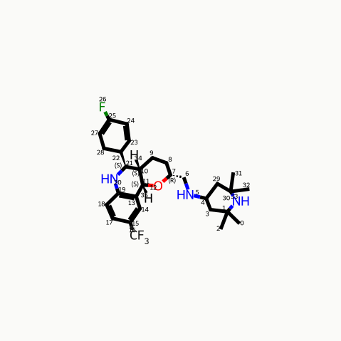 CC1(C)CC(NC[C@H]2CC[C@@H]3[C@H](O2)c2cc(C(F)(F)F)ccc2N[C@H]3C2C=CC(F)=CC2)CC(C)(C)N1